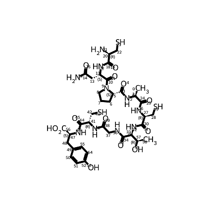 C[C@H](NC(=O)[C@@H]1CCCN1C(=O)[C@H](CC(N)=O)NC(=O)[C@@H](N)CS)C(=O)N[C@@H](CS)C(=O)N[C@H](C(=O)NCC(=O)N[C@@H](CS)C(=O)N[C@@H](Cc1ccc(O)cc1)C(=O)O)[C@@H](C)O